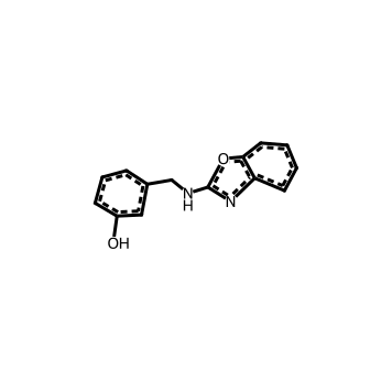 Oc1cccc(CNc2nc3ccccc3o2)c1